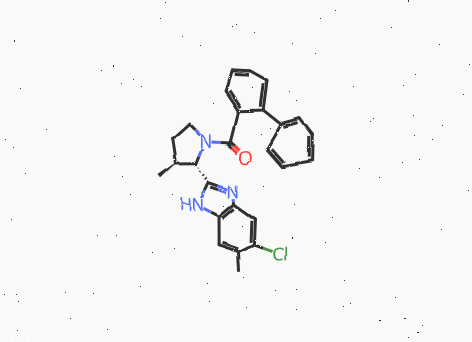 Cc1cc2[nH]c([C@@H]3[C@@H](C)CCN3C(=O)c3ccccc3-c3ccccc3)nc2cc1Cl